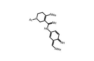 CN/C=C1/C=C(NC(=N)C2=C(NC)CCN(C(C)=O)C2)C=CC1=N